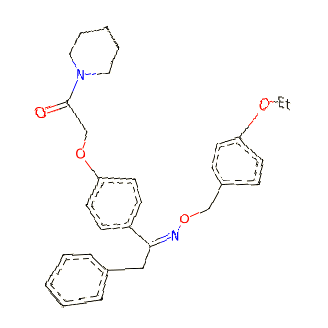 CCOc1ccc(CON=C(Cc2ccccc2)c2ccc(OCC(=O)N3CCCCC3)cc2)cc1